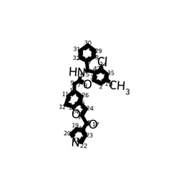 Cc1ccc(C(NC(=O)Cc2ccc3oc(C(=O)c4ccncc4)cc3c2)c2ccccc2)c(Cl)c1